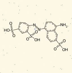 Nc1ccc(/N=N/c2ccc(S(=O)(=O)O)cc2S(=O)(=O)O)c2ccc(S(=O)(=O)O)cc12